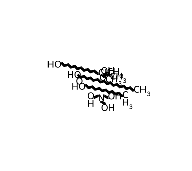 CC(C)(C)C(=O)O.CCCCCCCCCCCCCCCCCC(=O)O.CCCCCCCCCCCCCO.CCCCCCCCCCCCCO.OCCN(CCO)CCO